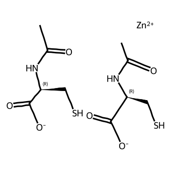 CC(=O)N[C@@H](CS)C(=O)[O-].CC(=O)N[C@@H](CS)C(=O)[O-].[Zn+2]